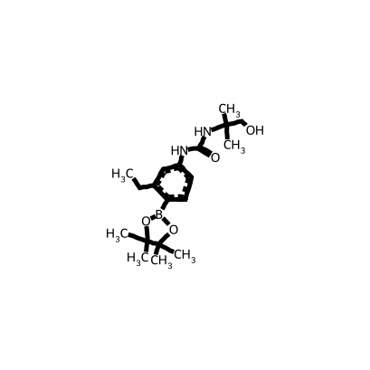 CCc1cc(NC(=O)NC(C)(C)CO)ccc1B1OC(C)(C)C(C)(C)O1